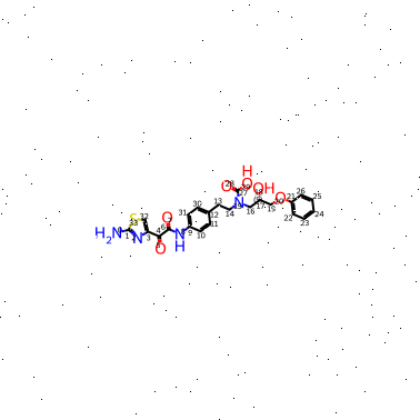 Nc1nc(C(=O)C(=O)Nc2ccc(CCN(C[C@H](O)COc3ccccc3)C(=O)O)cc2)cs1